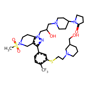 CS(=O)(=O)N1CCc2c(c(-c3ccc(C(F)(F)F)c(SCCN4CCCC(CO)C4)c3)nn2CC(O)CN2CCC(N3CCCC3=O)CC2)C1